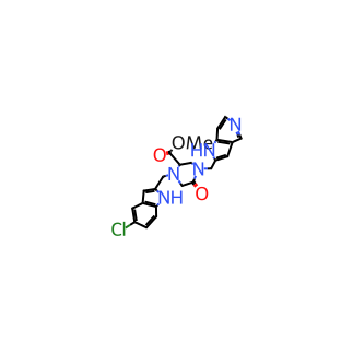 COC(=O)C1CN(Cc2cc3cnccc3[nH]2)C(=O)CN1Cc1cc2cc(Cl)ccc2[nH]1